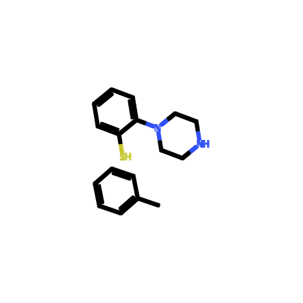 Cc1ccccc1.Sc1ccccc1N1CCNCC1